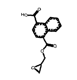 O=C(O)c1ccc(C(=O)OCC2CO2)c2ccccc12